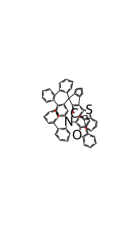 c1ccc(-c2ccccc2N(c2ccc3c(c2)C2(c4ccccc4-c4ccccc4-3)c3ccccc3-c3c2ccc2c3sc3ccccc32)c2cccc3c2oc2ccccc23)cc1